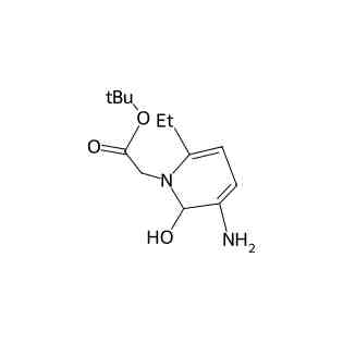 CCC1=CC=C(N)C(O)N1CC(=O)OC(C)(C)C